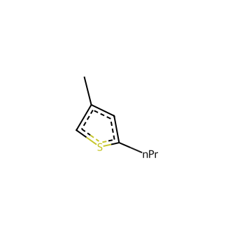 CCCc1cc(C)cs1